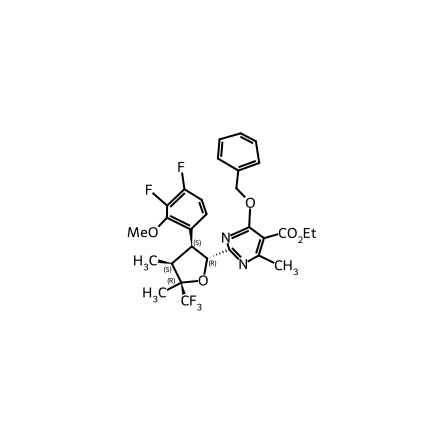 CCOC(=O)c1c(C)nc([C@@H]2O[C@@](C)(C(F)(F)F)[C@@H](C)[C@H]2c2ccc(F)c(F)c2OC)nc1OCc1ccccc1